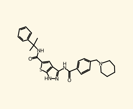 CC(C)(NC(=O)c1cc2c(NC(=O)c3ccc(CN4CCCCC4)cc3)n[nH]c2s1)c1ccccc1